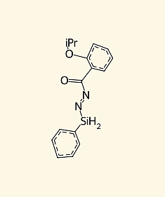 CC(C)Oc1ccccc1C(=O)N=N[SiH2]c1ccccc1